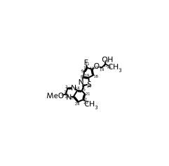 COc1cnc2c(-c3nc4cc(F)c(OC[C@H](C)O)cc4s3)cc(C)cc2n1